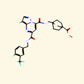 COC(=O)C12CCC(CNC(=O)c3cc(C(=O)NCc4ccc(F)c(C(F)(F)F)c4)nc4c(F)cnn34)(CC1)CC2